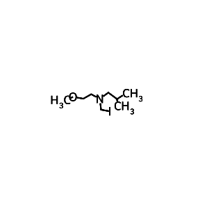 COCCN(CI)CC(C)C